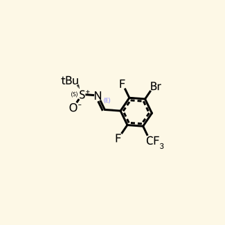 CC(C)(C)[S@@+]([O-])/N=C/c1c(F)c(Br)cc(C(F)(F)F)c1F